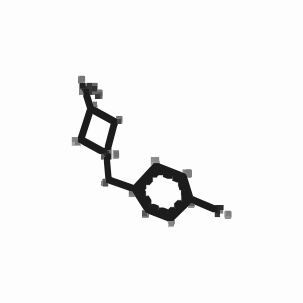 NC1CN(Cc2ccc(F)cc2)C1